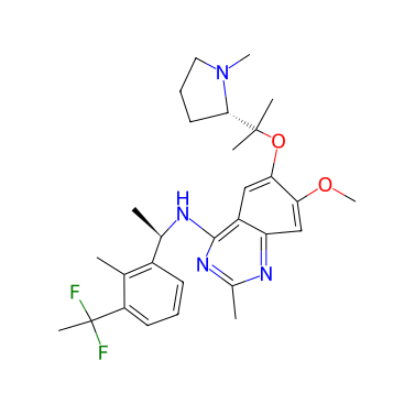 COc1cc2nc(C)nc(N[C@H](C)c3cccc(C(C)(F)F)c3C)c2cc1OC(C)(C)[C@@H]1CCCN1C